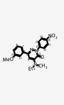 CCN(C)c1cc(-c2cccc(OC)c2)nn(-c2ccc([N+](=O)[O-])cc2)c1=O